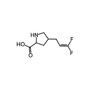 O=C(O)C1CC(CC=C(F)F)CN1